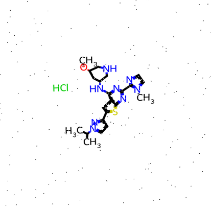 CO[C@H]1CNC[C@@H](Nc2nc(-c3nccn3C)nc3sc(-c4ccn(C(C)C)n4)cc23)C1.Cl